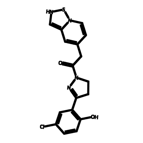 O=C(CC1=CC2=CNSN2C=C1)N1CCC(c2cc(Cl)ccc2O)=N1